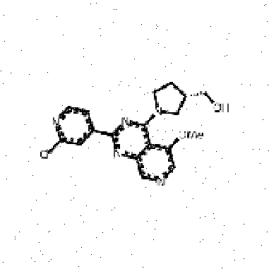 COc1cncc2nc(-c3ccnc(Cl)c3)nc(N3CC[C@H](CO)C3)c12